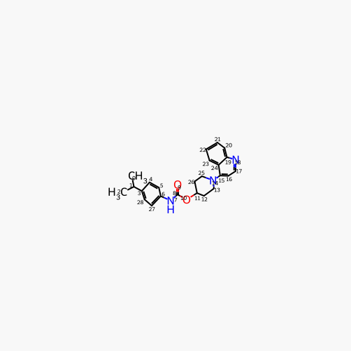 CC(C)c1ccc(NC(=O)OC2CCN(c3ccnc4ccccc34)CC2)cc1